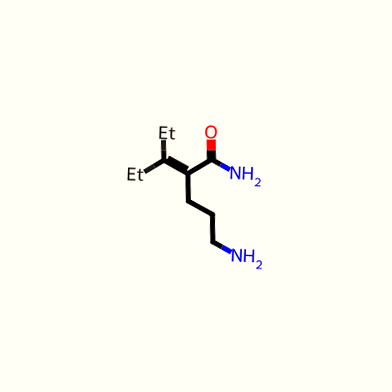 CCC(CC)=C(CCCN)C(N)=O